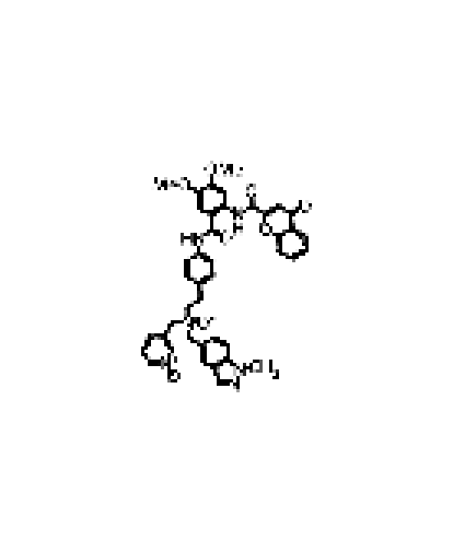 COc1cc(NC(=O)c2cc(=O)c3ccccc3o2)c(C(=O)Nc2ccc(CC[N+]([O-])(Cc3ccc4c(cnn4C)c3)Cc3ccc[n+]([O-])c3)cc2)cc1OC